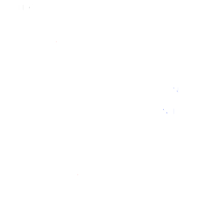 CCOc1ccc(-c2cn[nH]c2-c2ccc(OC)c3ccccc23)cc1